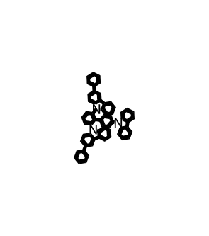 c1ccc(-c2ccc3c(c2)c2ccccc2n3-c2cccc(-n3c4ccccc4c4cc(-c5ccccc5)ccc43)c2-c2ccc(-n3c4ccccc4c4ccccc43)cc2)cc1